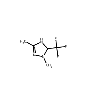 CC1=NN(C)C(C(F)(F)F)N1